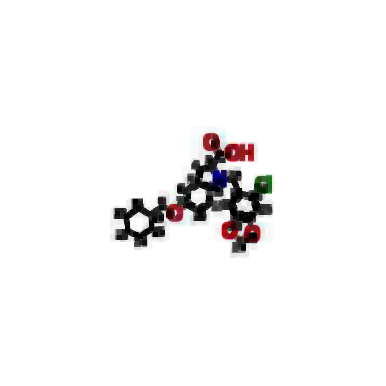 O=C(O)c1cc2cc(OCC3CCCCC3)ccc2n1Cc1cc2c(cc1Cl)OCO2